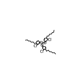 CCCCCCCc1ccc(OP(Oc2ccc(CCCCCCC)c(Cl)c2)Oc2ccc(CCCCCCC)c(Cl)c2)cc1Cl